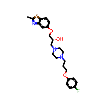 Cc1nc2cc(OC[C@H](O)CN3CCN(CCCOc4ccc(F)cc4)CC3)ccc2s1